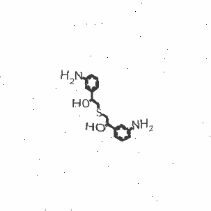 Nc1cccc(C(O)CSCC(O)c2cccc(N)c2)c1